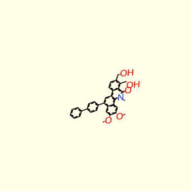 COc1cc2c(-c3ccc(-c4ccccc4)cc3)cc3c4ccc(CO)c(CO)c4c(=O)n(C)c3c2cc1OC